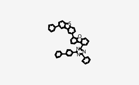 c1ccc(-c2ccc(-c3nc(-c4ccccc4)nc(-c4cccc5oc6c(-c7ccc8sc9ccc(-c%10ccccc%10)cc9c8c7)cccc6c45)n3)cc2)cc1